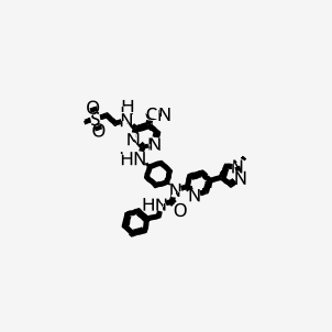 Cn1cc(-c2ccc(N(C(=O)NCc3ccccc3)[C@H]3CC[C@H](Nc4ncc(C#N)c(NCCS(C)(=O)=O)n4)CC3)nc2)cn1